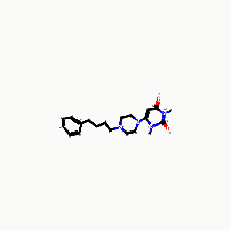 Cn1c(N2CCN(CCCCc3ccccc3)CC2)cc(=O)n(C)c1=O